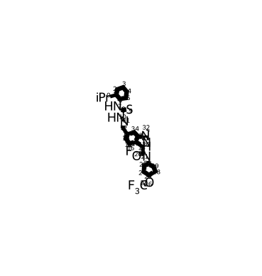 CC(C)c1ccccc1NC(=S)NN=Cc1cc(F)c2c(C(=O)Nc3ccc(OC(F)(F)F)cc3)nn(C)c2c1